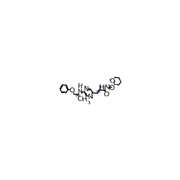 C[C@H](COc1ccccc1)Nc1cnc(/C=C/C(=O)NOC2CCCCO2)cn1